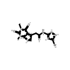 Cn1c(=O)c2c(CC(=O)Nc3nnc(Br)s3)csc2n(C)c1=O